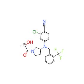 C[C@H](O)C(=O)N1CCC(N(Cc2ccccc2C(F)(F)F)c2ccc(C#N)c(Cl)c2)C1